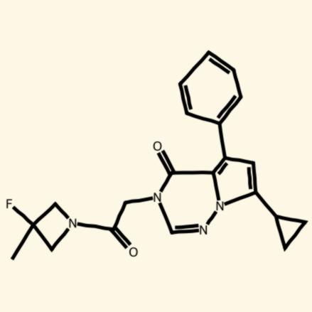 CC1(F)CN(C(=O)Cn2cnn3c(C4CC4)cc(-c4ccccc4)c3c2=O)C1